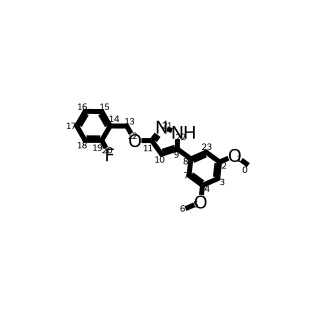 COc1cc(OC)cc(-c2cc(OCc3ccccc3F)n[nH]2)c1